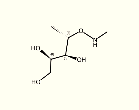 CNO[C@@H](C)[C@@H](O)[C@H](O)CO